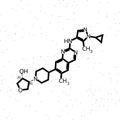 Cc1cc2cnc(Nc3cnn(C4CC4)c3C)nc2cc1C1CCN([C@@H]2COC[C@@H]2O)CC1